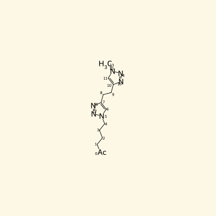 CC(=O)CCCCn1cc(CCc2cn(C)nn2)nn1